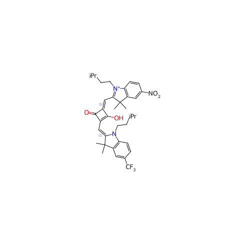 CC(C)CCN1/C(=C\C2=C(O)C(=C\C3=[N+](CCC(C)C)c4ccc([N+](=O)[O-])cc4C3(C)C)/C2=O)C(C)(C)c2cc(C(F)(F)F)ccc21